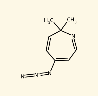 CC1(C)C=CC(N=[N+]=[N-])=CC=N1